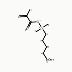 C=C(C)C(=O)O[Si](C)(C)CCCCCCCCCCCC